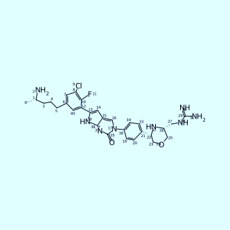 C[C@H](N)CCCc1cc(Cl)c(F)c(-c2cc3cn(-c4ccc([C@H]5COC[C@@H](CNC(=N)N)N5)cc4)c(=O)nc3[nH]2)c1